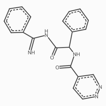 N=C(NC(=O)C(NC(=O)c1ccnnc1)c1ccccc1)c1ccccc1